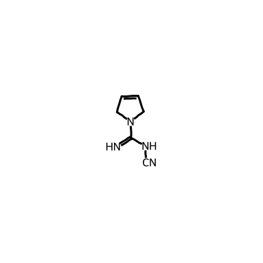 N#CNC(=N)N1CC=CC1